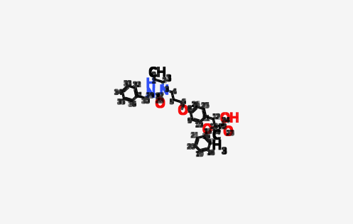 CCCN(CCCOc1ccc(C[C@](C)(Oc2ccccc2)C(=O)O)cc1)C(=O)NCc1ccccc1